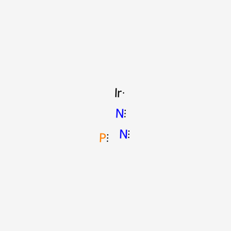 [Ir].[N].[N].[P]